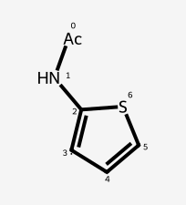 CC(=O)Nc1[c]ccs1